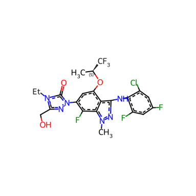 CCn1c(CO)nn(-c2cc(O[C@@H](C)C(F)(F)F)c3c(Nc4c(F)cc(F)cc4Cl)nn(C)c3c2F)c1=O